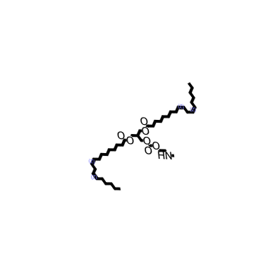 CCCCC/C=C\C/C=C\CCCCCCCC(=O)OCC(COC(=O)CCCCCCC/C=C\C/C=C\CCCCC)COC(=O)OCCNC